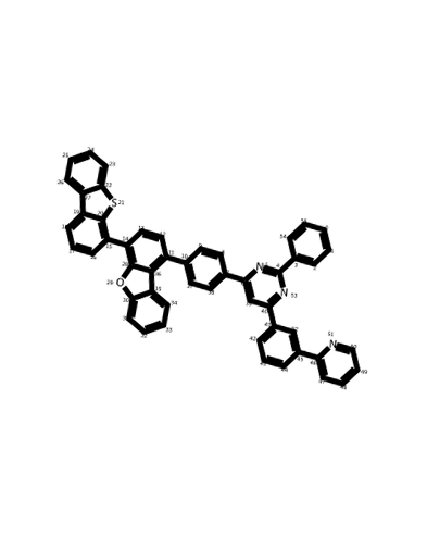 c1ccc(-c2nc(-c3ccc(-c4ccc(-c5cccc6c5sc5ccccc56)c5oc6ccccc6c45)cc3)cc(-c3cccc(-c4ccccn4)c3)n2)cc1